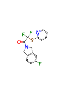 O=C(N1Cc2ccc(F)cc2C1)C(F)(F)Sc1ccccn1